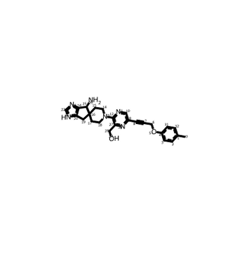 Cc1ccc(OCC#Cc2cnc(N3CCC4(CC3)Cc3[nH]cnc3C4N)c(CO)n2)cc1